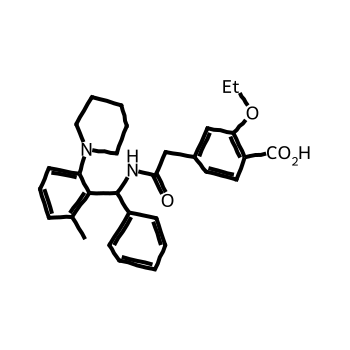 CCOc1cc(CC(=O)NC(c2ccccc2)c2c(C)cccc2N2CCCCC2)ccc1C(=O)O